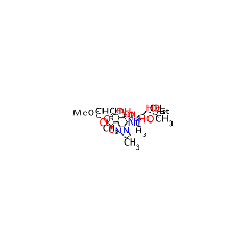 CCC(O)C(C)C(O)[C@@H](C)/C=C/C=C(\C)C(=O)Nc1c(O)c2c(O)c(C)c3c(c2c2nc4cc(C)ccn4c12)C(=O)C(C)(O/C=C/C(C)OC)O3